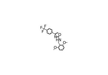 COc1cccc(OC)c1CNc1nc(-c2ccc(C(F)(F)F)cc2)co1